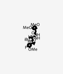 CCC(C)CC(NC(=N)NC(=O)Cc1ccc(OC)c(OC)c1)C(=O)NC1(c2ccc(F)c(OC)c2)CC1